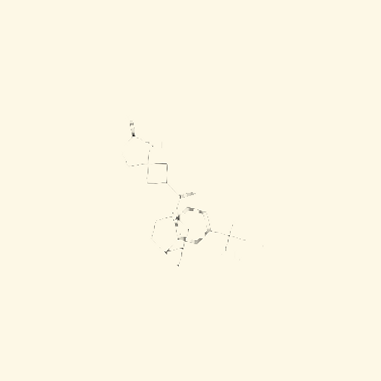 CC(C)(C)c1cccc(C23CCN(C(=O)C4CC5(COC(=O)N5)C4)CC2C3)c1